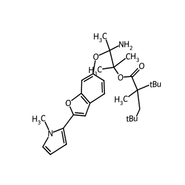 Cn1cccc1-c1cc2ccc(OC(C)(N)C(C)(C)OC(=O)C(C)(CC(C)(C)C)C(C)(C)C)cc2o1